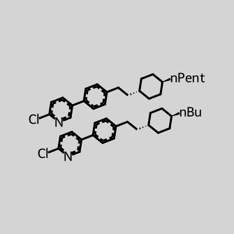 CCCCC[C@H]1CC[C@H](CCc2ccc(-c3ccc(Cl)nc3)cc2)CC1.CCCC[C@H]1CC[C@H](CCc2ccc(-c3ccc(Cl)nc3)cc2)CC1